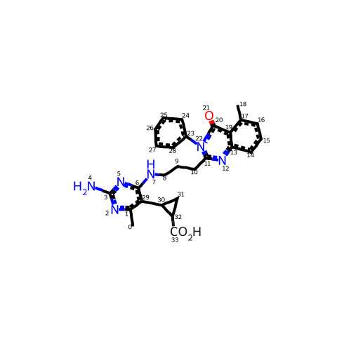 Cc1nc(N)nc(NCCCc2nc3cccc(C)c3c(=O)n2-c2ccccc2)c1C1CC1C(=O)O